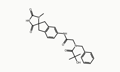 CN1C(=O)NC(=O)C12Cc1ccc(NC(=O)CN(Cc3ccccc3)C(=O)C(C)(C)O)cc1C2